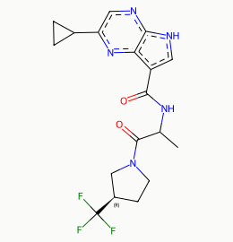 CC(NC(=O)c1c[nH]c2ncc(C3CC3)nc12)C(=O)N1CC[C@@H](C(F)(F)F)C1